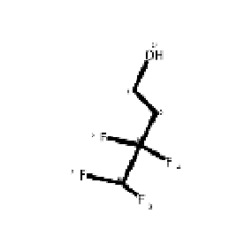 OCCC(F)(F)C(F)F